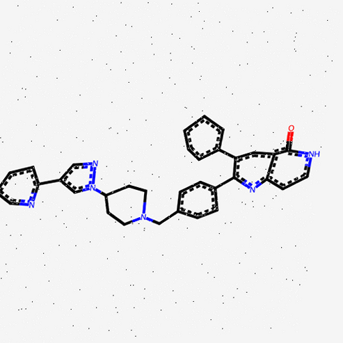 O=c1[nH]ccc2nc(-c3ccc(CN4CCC(n5cc(-c6ccccn6)cn5)CC4)cc3)c(-c3ccccc3)cc12